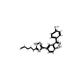 CCCCCc1nc(-c2ccc3[nH]nc(-c4ccc(F)cc4)c3c2)n[nH]1